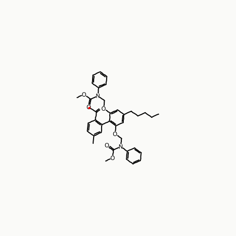 C=C(C)c1ccc(C)cc1-c1c(OCN(C(=O)OC)c2ccccc2)cc(CCCCC)cc1OCN(C(=O)OC)c1ccccc1